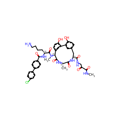 CNC(=O)C(=O)CNC(=O)[C@@H]1Cc2ccc(O)c(c2)-c2cc(ccc2O)[C@H](N(C)C(=O)[C@H](CCCCN)NC(=O)c2ccc(-c3ccc(Cl)cc3)cc2)C(=O)N[C@@H](C)C(=O)N1